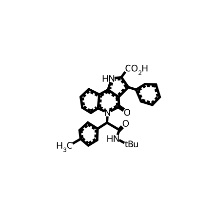 Cc1ccc(C(C(=O)NC(C)(C)C)n2c(=O)c3c(-c4ccccc4)c(C(=O)O)[nH]c3c3ccccc32)cc1